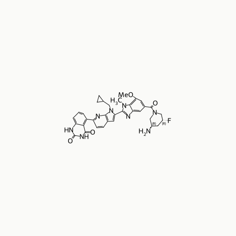 COc1cc(C(=O)N2C[C@H](N)C[C@@H](F)C2)cc2nc(-c3cc4ccc(-c5cccc6[nH]c(=O)[nH]c(=O)c56)nc4n3CC3CC3)n(C)c12